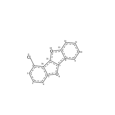 Clc1cccc2oc3c4ccccc4oc3c12